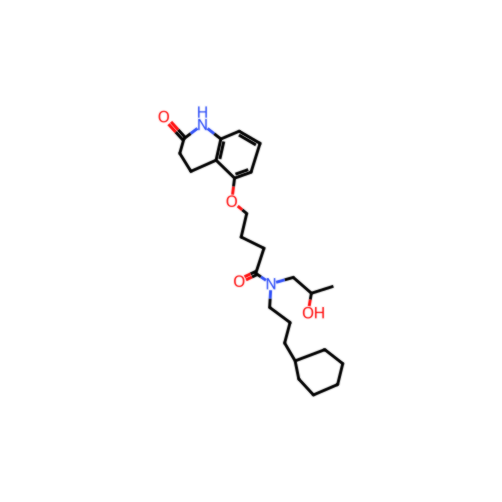 CC(O)CN(CCCC1CCCCC1)C(=O)CCCOc1cccc2c1CCC(=O)N2